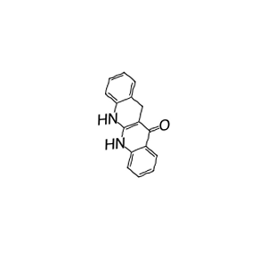 O=c1c2c([nH]c3ccccc13)Nc1ccccc1C2